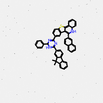 CC1(C)c2ccccc2-c2ccc(C3=NC(c4ccc5sc6c(c5c4)=C(c4ccc5ccccc5c4)NC4C=CC=CC=64)=NC(c4ccccc4)N3)cc21